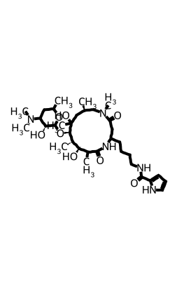 CC1CC(N(C)C)[C@@H](O)C(O[C@@H]2[C@@H](C)[C@H](O)C(C)C(=O)NC(CCCCNC(=O)c3ccc[nH]3)CC(=O)N(C)C[C@H](C)CC2(C)O)O1